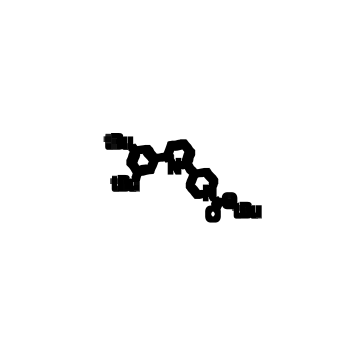 CC(C)(C)OC(=O)N1CCC(c2cccc(-c3cc(C(C)(C)C)cc(C(C)(C)C)c3)n2)CC1